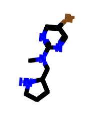 CN(CC1CCCN1)c1ncc(Br)cn1